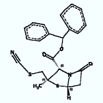 C[C@@]1(CSC#N)S[C@H]2CC(=O)N2[C@H]1C(=O)OC(c1ccccc1)c1ccccc1